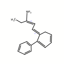 CC/C(N)=C\C=C1/CC=CC=C1c1ccccc1